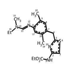 CCOC(=O)Nc1csc(Cc2cc(C)c(/N=C/N(C)CC)cc2C)n1